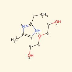 CCc1nc(C)c[nH]1.OCCOCCO